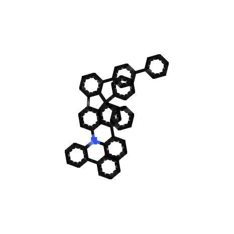 c1ccc(-c2ccc(-c3cccc4c3C(c3ccccc3)(c3ccccc3)c3cc(N(c5ccccc5-c5ccccc5)c5ccccc5-c5ccccc5)ccc3-4)cc2)cc1